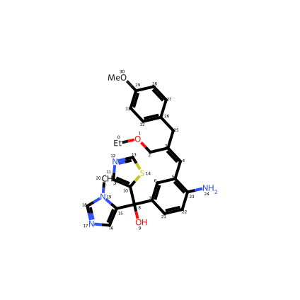 CCOC/C(=C\c1cc(C(O)(c2cncs2)c2cncn2C)ccc1N)Cc1ccc(OC)cc1